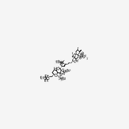 C=C(OS(=O)(=O)C(F)(F)F)[C@H](C)C[C@H]1CC[C@@H]2O[C@@H](CCC/C=C/C(O[Si](C)(C)C(C)(C)C)[C@@H]3O[C@H]4CC[C@H](CCO[Si](CC)(CC)CC)OC4[C@H](O[Si](C)(C)C(C)(C)C)[C@@H]3O[Si](C)(C)C(C)(C)C)C[C@]2(CI)O1